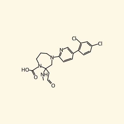 CNC1(CC=O)CN(c2ccc(-c3ccc(Cl)cc3Cl)cn2)CCCN1C(=O)O